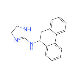 c1ccc2c(c1)CC(NC1=NCCN1)c1ccccc1-2